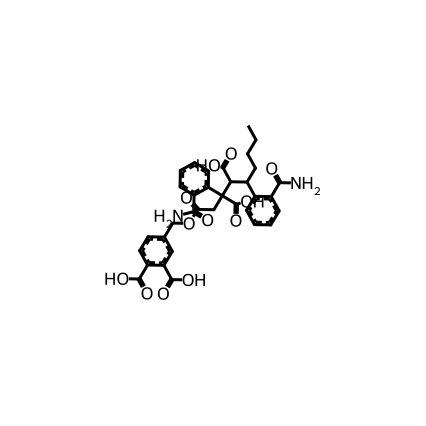 CCCCC(c1ccccc1C(N)=O)C(C(=O)O)C(CC(=O)OCc1ccc(C(=O)O)c(C(=O)O)c1)(C(=O)O)c1ccccc1C(N)=O